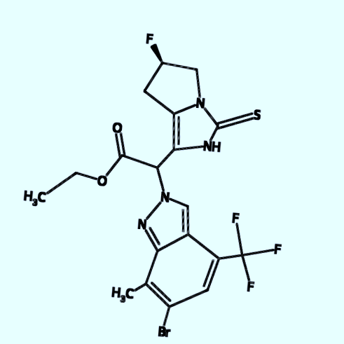 CCOC(=O)C(c1[nH]c(=S)n2c1C[C@@H](F)C2)n1cc2c(C(F)(F)F)cc(Br)c(C)c2n1